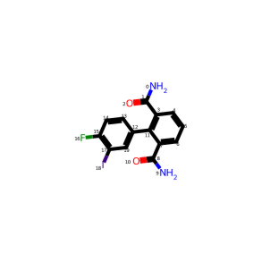 NC(=O)c1cccc(C(N)=O)c1-c1ccc(F)c(I)c1